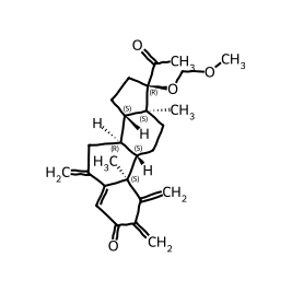 C=C1C[C@@H]2[C@H](CC[C@@]3(C)[C@H]2CC[C@]3(OCOC)C(C)=O)[C@@]2(C)C(=C)C(=C)C(=O)C=C12